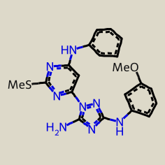 COc1cccc(Nc2nc(N)n(-c3cc(Nc4ccccc4)nc(SC)n3)n2)c1